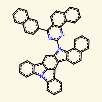 c1ccc2cc(-c3nc(-n4c5cc6c7ccccc7n7c8ccccc8c(c5c5ccc8ccccc8c54)c67)nc4c3ccc3ccccc34)ccc2c1